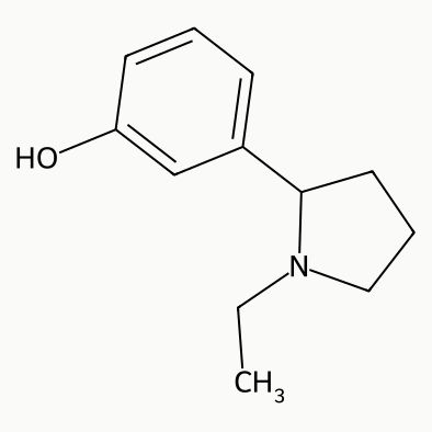 CCN1CCCC1c1cccc(O)c1